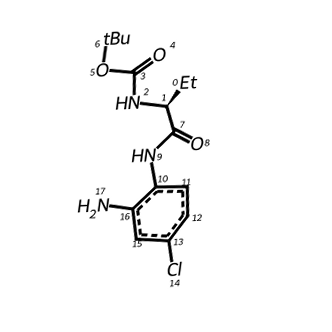 CC[C@H](NC(=O)OC(C)(C)C)C(=O)Nc1ccc(Cl)cc1N